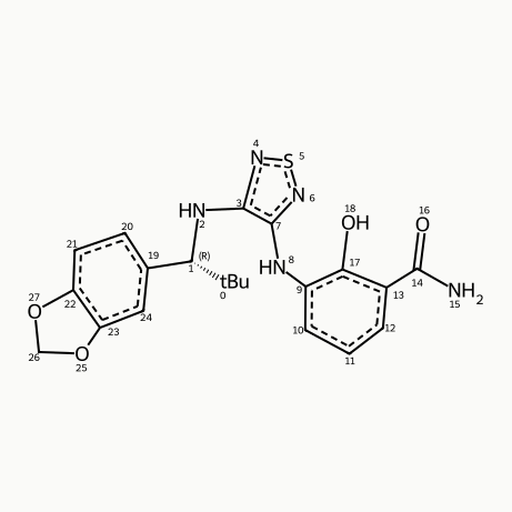 CC(C)(C)[C@@H](Nc1nsnc1Nc1cccc(C(N)=O)c1O)c1ccc2c(c1)OCO2